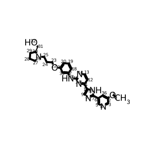 COc1cncc(-c2ncc(-c3ccnc(Nc4cccc(OCCCN5CCC[C@H]5CO)c4)n3)[nH]2)c1